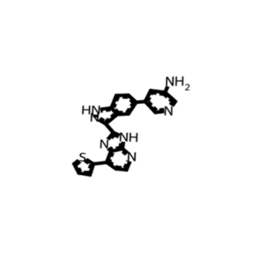 Nc1cncc(-c2ccc3[nH]nc(-c4nc5c(-c6cccs6)ccnc5[nH]4)c3c2)c1